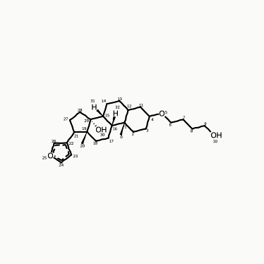 C[C@]12CCC(OCCCCO)CC1CC[C@@H]1[C@H]2CC[C@]2(C)C(c3ccoc3)CC[C@@]12O